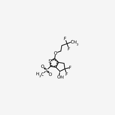 CC(F)(F)CCOc1sc(S(C)(=O)=O)c2c1CC(F)(F)[C@H]2O